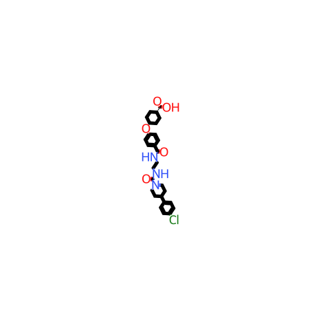 O=C(NCCNC(=O)N1CCC(c2ccc(Cl)cc2)CC1)c1ccc(O[C@H]2CC[C@@H](C(=O)O)CC2)cc1